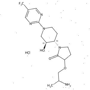 CC(N)COC1CCN([C@H]2CCN(c3ncc(C(F)(F)F)cn3)C[C@@H]2O)C1=O.Cl